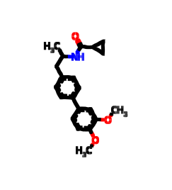 COc1ccc(-c2ccc(CC(C)NC(=O)C3CC3)cc2)cc1OC